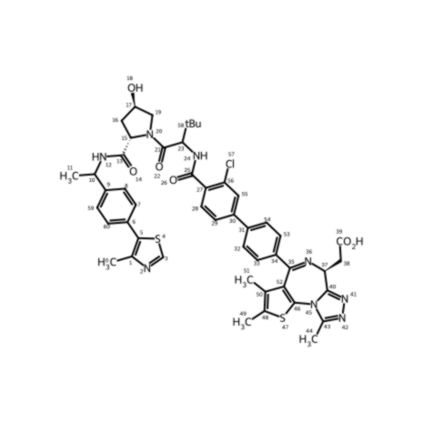 Cc1ncsc1-c1ccc(C(C)NC(=O)[C@@H]2C[C@@H](O)CN2C(=O)C(NC(=O)c2ccc(-c3ccc(C4=N[C@@H](CC(=O)O)c5nnc(C)n5-c5sc(C)c(C)c54)cc3)cc2Cl)C(C)(C)C)cc1